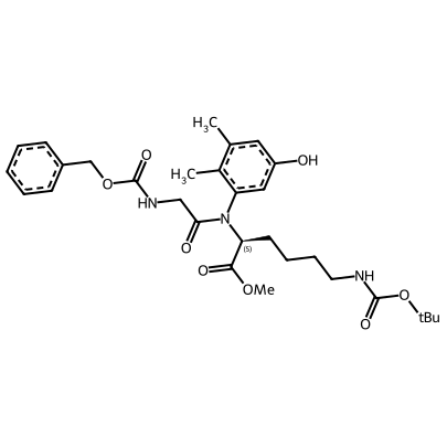 COC(=O)[C@H](CCCCNC(=O)OC(C)(C)C)N(C(=O)CNC(=O)OCc1ccccc1)c1cc(O)cc(C)c1C